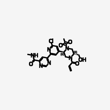 C=CC(=O)N1C[C@@H](c2cc(Cl)nc(-c3cc(C(=O)NC)ncn3)c2)N(S(C)(=O)=O)C[C@@H]1CO